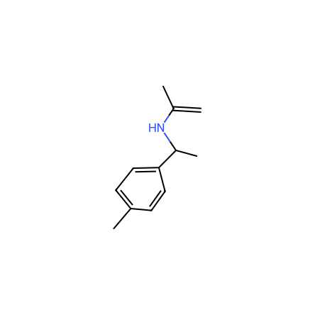 C=C(C)NC(C)c1ccc(C)cc1